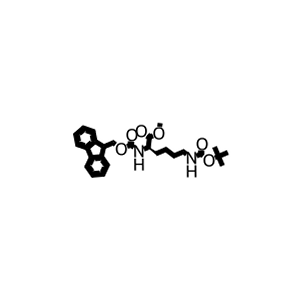 COC(=O)[C@@H](CCCCNC(=O)OC(C)(C)C)NC(=O)OCC1c2ccccc2-c2ccccc21